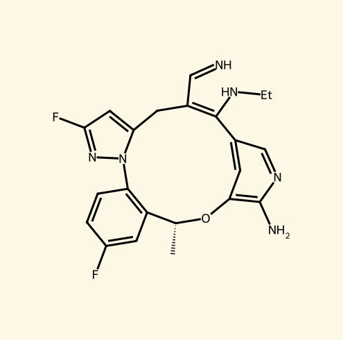 CCN/C1=C(\C=N)Cc2cc(F)nn2-c2ccc(F)cc2[C@@H](C)Oc2cc1cnc2N